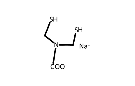 O=C([O-])N(CS)CS.[Na+]